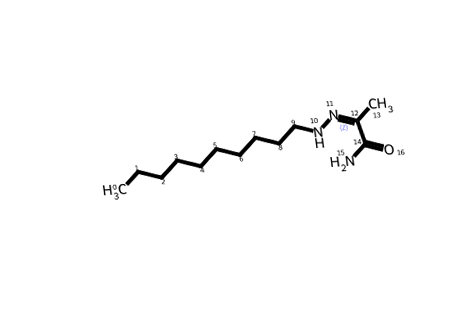 CCCCCCCCCCN/N=C(/C)C(N)=O